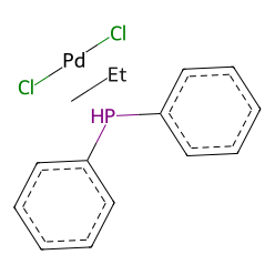 CCC.[Cl][Pd][Cl].c1ccc(Pc2ccccc2)cc1